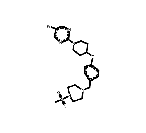 CCc1cnc(N2CCC(Oc3ccc(CN4CCN(S(C)(=O)=O)CC4)cc3)CC2)nc1